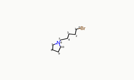 BrCCCCCN1CCCC1